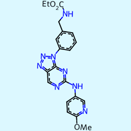 CCOC(=O)NCc1cccc(-n2nnc3cnc(Nc4ccc(OC)nc4)nc32)c1